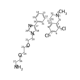 CN1Cc2c(Cl)cc(Cl)cc2[C@H](c2cccc(-c3cn(CCOCCOCCN)cn3)c2)C1